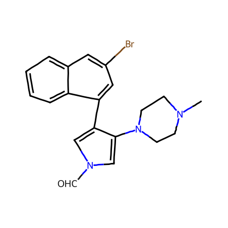 CN1CCN(c2cn(C=O)cc2-c2cc(Br)cc3ccccc23)CC1